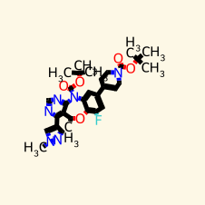 CC1Oc2c(F)cc(C3=CCN(C(=O)OC(C)(C)C)CC3)cc2N(C(=O)OC(C)(C)C)c2ncnc(-c3cnn(C)c3)c21